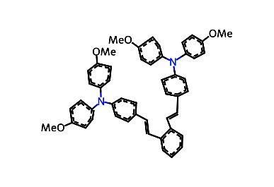 COc1ccc(N(c2ccc(C=Cc3ccccc3C=Cc3ccc(N(c4ccc(OC)cc4)c4ccc(OC)cc4)cc3)cc2)c2ccc(OC)cc2)cc1